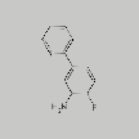 Nc1cc(-c2ccccn2)ccc1F